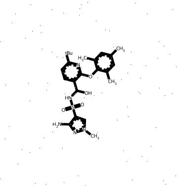 Cc1cc(C)c(Oc2nc(C(C)(C)C)ccc2C(O)NS(=O)(=O)c2cn(C)nc2N)c(C)c1